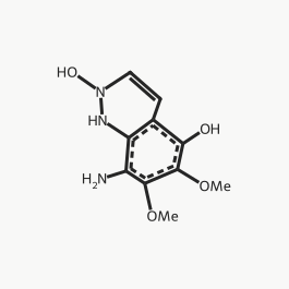 COc1c(N)c2c(c(O)c1OC)C=CN(O)N2